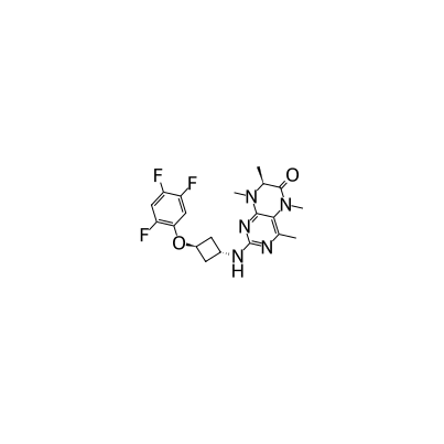 Cc1nc(N[C@H]2C[C@H](Oc3cc(F)c(F)cc3F)C2)nc2c1N(C)C(=O)[C@H](C)N2C